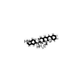 CCn1c(=O)c(Cc2ccccc2)cc2cnc(Nc3ccc4[nH]ccc4c3)nc21